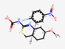 CO[C@H]1CC[C@H]2CSC(NC(=O)O)=N[C@@]2(c2cc([N+](=O)[O-])ccc2F)C1